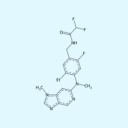 CCc1cc(CNC(=O)C(F)F)c(F)cc1N(C)c1cc2c(cn1)ncn2C